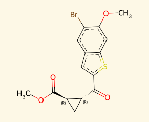 COC(=O)[C@@H]1C[C@H]1C(=O)c1cc2cc(Br)c(OC)cc2s1